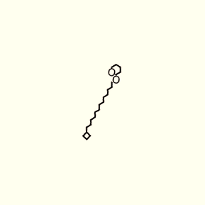 C(CCCCCCOC1CCCCO1)CCCCCCC1CCC1